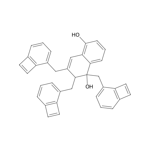 Oc1cccc2c1C=C(Cc1cccc3c1C=C3)C(Cc1cccc3c1C=C3)C2(O)Cc1cccc2c1C=C2